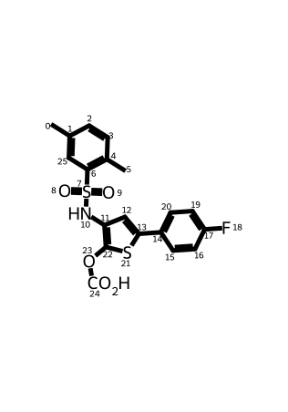 Cc1ccc(C)c(S(=O)(=O)Nc2cc(-c3ccc(F)cc3)sc2OC(=O)O)c1